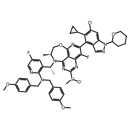 COc1ccc(CN(Cc2ccc(OC)cc2)c2ncc(F)cc2[C@@H](C)N2c3nc([S+](C)[O-])nc4c(F)c(-c5c(C6CC6)c(Cl)cc6c5cnn6C5CCCCO5)nc(c34)OC[C@@H]2C)cc1